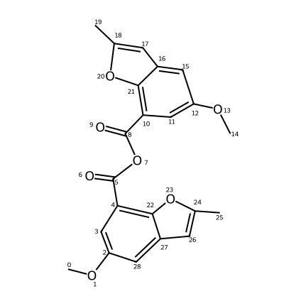 COc1cc(C(=O)OC(=O)c2cc(OC)cc3cc(C)oc23)c2oc(C)cc2c1